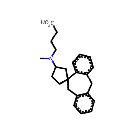 CN(CCCC(=O)O)C1CCC2(Cc3ccccc3Cc3ccccc32)C1